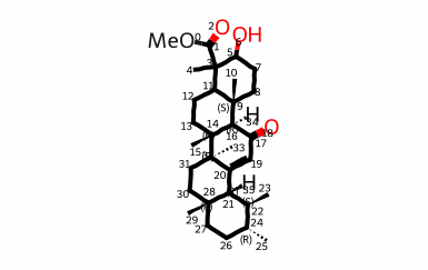 COC(=O)C1(C)C(O)CC[C@@]2(C)C1CC[C@]1(C)[C@@H]2C(=O)C=C2[C@@H]3[C@@H](C)[C@H](C)CC[C@]3(C)CC[C@]21C